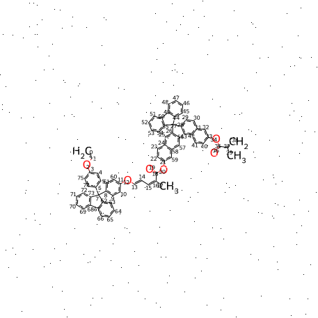 C=COc1ccc(C2(c3ccc(O/C=C/C=C(/C)C(=O)Oc4ccc5cc(C6(c7ccc8cc(OC(=O)C(=C)C)ccc8c7)c7ccccc7-c7ccccc76)ccc5c4)cc3)c3ccccc3-c3ccccc32)cc1